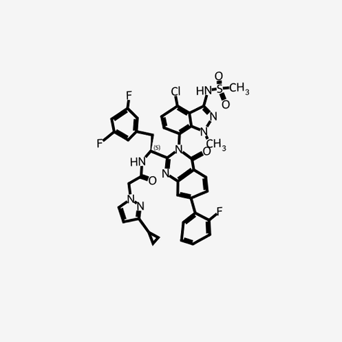 Cn1nc(NS(C)(=O)=O)c2c(Cl)ccc(-n3c([C@H](Cc4cc(F)cc(F)c4)NC(=O)Cn4ccc(C5CC5)n4)nc4cc(-c5ccccc5F)ccc4c3=O)c21